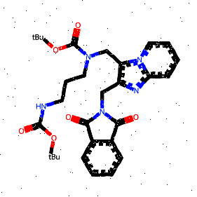 CC(C)(C)OC(=O)NCCCN(Cc1c(CN2C(=O)c3ccccc3C2=O)nc2ccccn12)C(=O)OC(C)(C)C